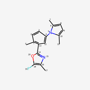 Cc1ccc(-n2c(C)ccc2C)cc1-c1nc(C)c(F)o1